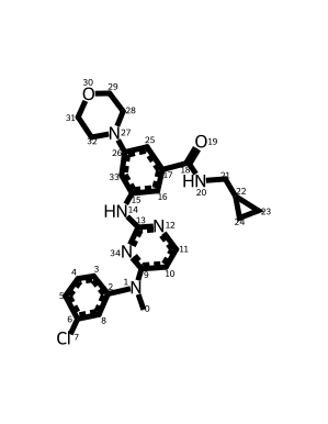 CN(c1cccc(Cl)c1)c1ccnc(Nc2cc(C(=O)NCC3CC3)cc(N3CCOCC3)c2)n1